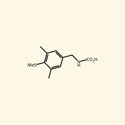 CSc1c(C)cc(CNC(=O)O)cc1C